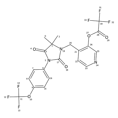 CC1(C)C(=O)N(c2ccc(OC(F)(F)F)cc2)C(=O)N1Cc1ccncc1OC(=O)C(F)(F)F